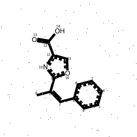 CC(=Cc1ccccc1)c1nc(C(=O)O)co1